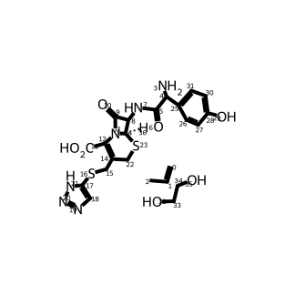 C=CC.NC(C(=O)NC1C(=O)N2C(C(=O)O)=C(CSc3cnn[nH]3)CS[C@H]12)c1ccc(O)cc1.OCCO